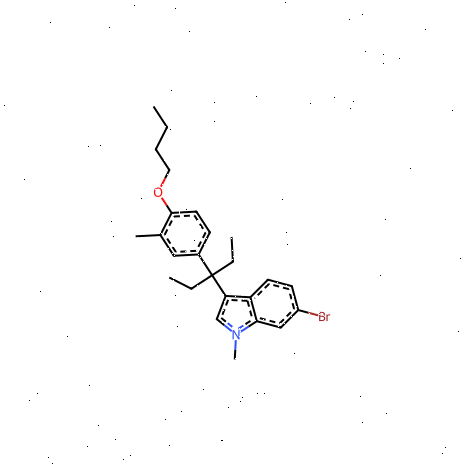 CCCCOc1ccc(C(CC)(CC)c2cn(C)c3cc(Br)ccc23)cc1C